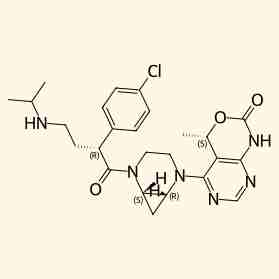 CC(C)NCC[C@@H](C(=O)N1CCN(c2ncnc3c2[C@H](C)OC(=O)N3)[C@@H]2C[C@@H]21)c1ccc(Cl)cc1